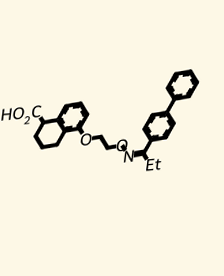 CCC(=NOCCOc1cccc2c1CCCC2C(=O)O)c1ccc(-c2ccccc2)cc1